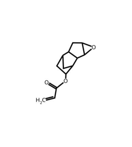 C=CC(=O)OC1CC2CC1C1C2CC2OC21